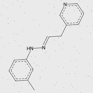 Cc1cccc(NN=CCc2cccnc2)c1